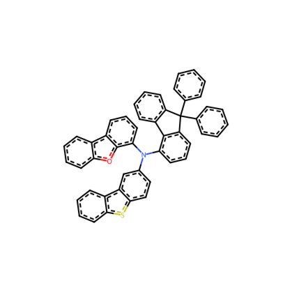 c1ccc(C2(c3ccccc3)c3ccccc3-c3c(N(c4ccc5sc6ccccc6c5c4)c4cccc5c4oc4ccccc45)cccc32)cc1